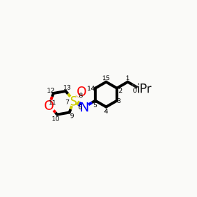 CC(C)CC1CCC(N=S2(=O)CCOCC2)CC1